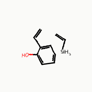 C=C[SiH3].C=Cc1ccccc1O